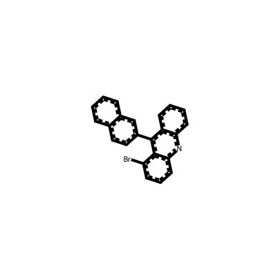 Brc1cccc2nc3ccccc3c(-c3ccc4ccccc4c3)c12